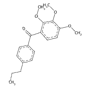 CCCc1ccc(C(=O)c2ccc(OC)c(OC)c2OC)cc1